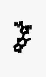 Cc1cn2nccc2nc1-c1cc(N)[nH]n1